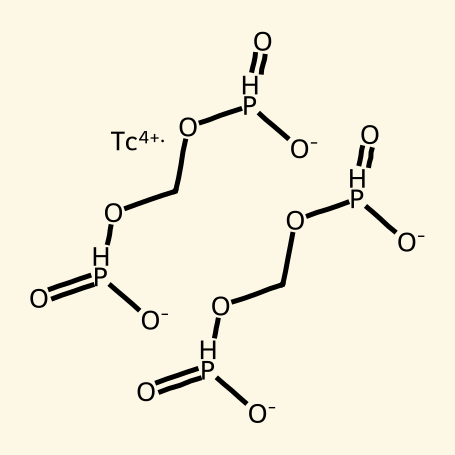 O=[PH]([O-])OCO[PH](=O)[O-].O=[PH]([O-])OCO[PH](=O)[O-].[Tc+4]